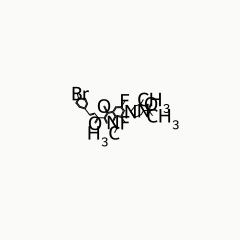 CCn1cc(C(=O)C=Cc2ccc(Br)cc2)c(=O)c2cc(F)c(N3CCN(C(C)=O)C(C)C3)c(F)c21